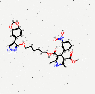 COC(=O)C1=C(C)NC(C)=C(C(=O)OCCCCCCOc2n[nH]cc2-c2ccc3c(c2)OCO3)C1c1cccc([N+](=O)[O-])c1